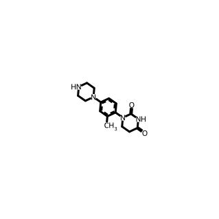 Cc1cc(N2CCNCC2)ccc1N1CCC(=O)NC1=O